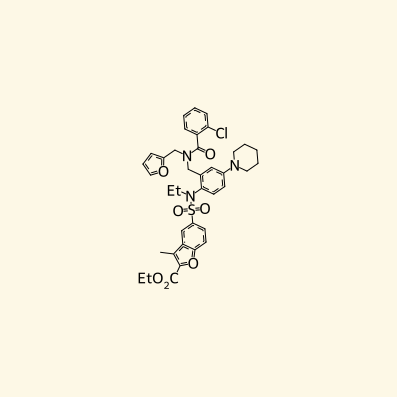 CCOC(=O)c1oc2ccc(S(=O)(=O)N(CC)c3ccc(N4CCCCC4)cc3CN(Cc3ccco3)C(=O)c3ccccc3Cl)cc2c1C